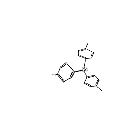 Cc1cc[c]([Nd]([c]2ccc(C)cc2)[c]2ccc(C)cc2)cc1